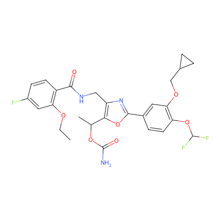 CCOc1cc(F)ccc1C(=O)NCc1nc(-c2ccc(OC(F)F)c(OCC3CC3)c2)oc1C(C)OC(N)=O